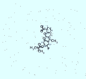 Cc1c(Cc2cccc([N+](=O)[O-])c2)c(=O)oc2cc(OC(=O)N(C)C)c(F)cc12